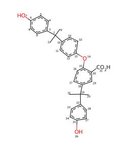 CC(C)(c1ccc(O)cc1)c1ccc(Oc2ccc(C(C)(C)c3ccc(O)cc3)cc2C(=O)O)cc1